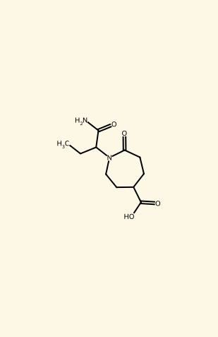 CCC(C(N)=O)N1CCC(C(=O)O)CCC1=O